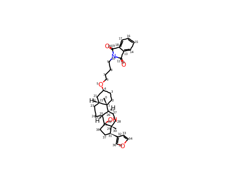 C[C@]12CC[C@H](OCCCCN3C(=O)c4ccccc4C3=O)C[C@H]1CC[C@@H]1[C@@H]2CC[C@]2(C)[C@@H](c3ccoc3)CC[C@]12O